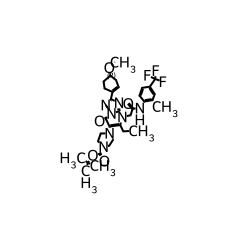 CCc1c(N2CCN(C(=O)OC(C)(C)C)CC2)c(=O)n2nc(C3=CC[C@H](OC)CC3)nc2n1CC(=O)Nc1ccc(C(F)(F)F)cc1C